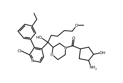 CCc1cccc(-c2c(C(O)(CCCCOC)C3CN(C(=O)C4CC(N)C(O)C4)CCO3)ccnc2Cl)c1